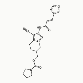 N#Cc1c(NC(=O)C=Cc2ccoc2)sc2c1CCC(COC(=O)N1CCCC1)C2